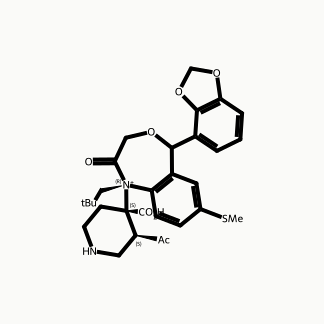 CSc1ccc2c(c1)C(c1cccc3c1OCO3)OCC(=O)[N@@+]2(CC(C)(C)C)[C@@]1(C(=O)O)CCNC[C@@H]1C(C)=O